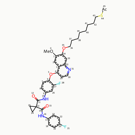 COc1cc2c(Oc3ccc(NC(=O)C4(C(=O)Nc5ccc(F)cc5)CC4)cc3F)ccnc2cc1OCCCCCCCCSC(C)=O